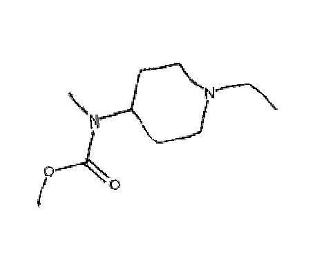 CCN1CCC(N(C)C(=O)OC)CC1